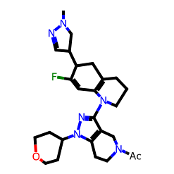 CC(=O)N1CCc2c(c(N3CCCC4=C3C=C(F)C(C3C=NN(C)C3)C4)nn2C2CCOCC2)C1